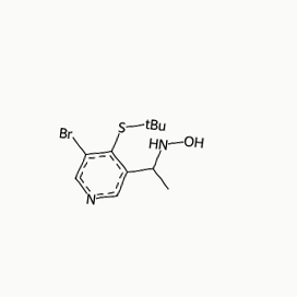 CC(NO)c1cncc(Br)c1SC(C)(C)C